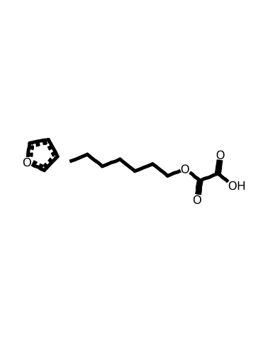 CCCCCCCOC(=O)C(=O)O.c1ccoc1